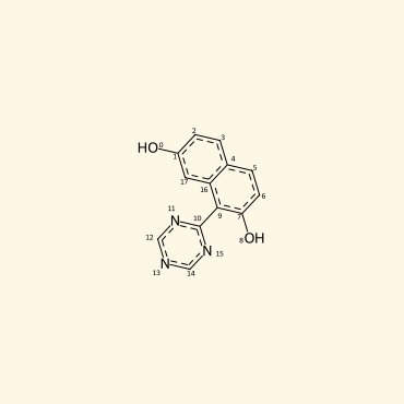 Oc1ccc2ccc(O)c(-c3ncncn3)c2c1